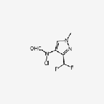 Cn1cc(N(Cl)C=O)c(C(F)F)n1